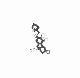 CCCC12CCC(=O)C=C1c1c(cc(OCc3ccccn3)c(Cl)c1Cl)C2